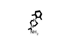 Cc1cccc(C)c1N1CCN(C(C)N)CC1